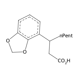 CCCCCC(CC(=O)O)c1cccc2c1OCO2